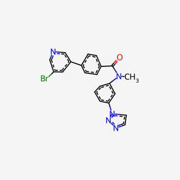 CN(C(=O)c1ccc(-c2cncc(Br)c2)cc1)c1cccc(-n2ccnn2)c1